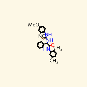 COc1ccc(NC(=S)NC(C(=O)Nc2cc(C)ccc2C)c2ccccc2)c([N+](=O)[O-])c1